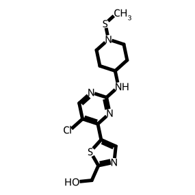 CSN1CCC(Nc2ncc(Cl)c(-c3cnc(CO)s3)n2)CC1